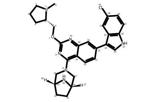 CN1CCC[C@H]1COc1nc(N2C[C@H]3CC[C@@H](C2)N3)c2ccc(-c3c[nH]c4ccc(Cl)cc34)cc2n1